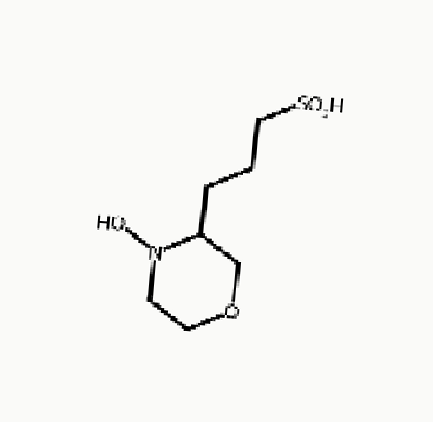 O=S(=O)(O)CCCC1COCCN1O